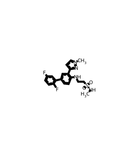 CNS(=O)(=O)CCNc1ccc(-c2cc(F)ccc2F)cc1-c1ccn(C)n1